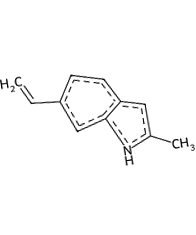 C=Cc1ccc2cc(C)[nH]c2c1